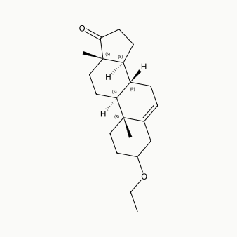 CCOC1CC[C@@]2(C)C(=CC[C@@H]3[C@@H]2CC[C@]2(C)C(=O)CC[C@@H]32)C1